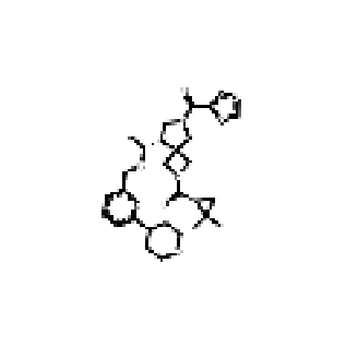 CC(OCc1cccc(C2CCOCC2)n1)[C@@H]1CN(C(=O)c2cncs2)CC12CN(C(=O)[C@H]1CC1(C)C)C2